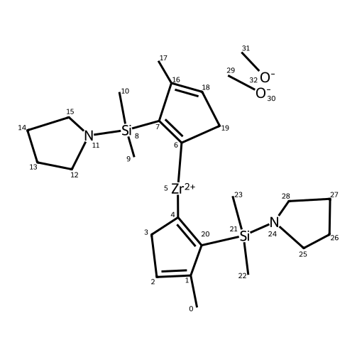 CC1=CC[C]([Zr+2][C]2=C([Si](C)(C)N3CCCC3)C(C)=CC2)=C1[Si](C)(C)N1CCCC1.C[O-].C[O-]